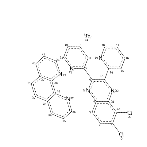 Clc1ccc2nc(-c3ccccn3)c(-c3ccccn3)nc2c1Cl.[Rh].c1cnc2c(c1)ccc1cccnc12